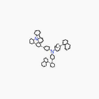 c1ccc(-c2cccc3ccccc23)c(-c2ccc(N(c3ccc(-c4ccc(-c5ccccc5-n5c6ccccc6c6ccccc65)cc4)cc3)c3ccc(-c4cccc5ccccc45)cc3)cc2)c1